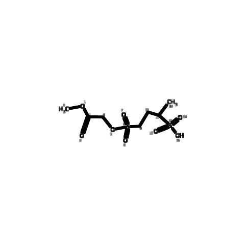 COC(=O)COS(=O)(=O)CCC(C)S(=O)(=O)O